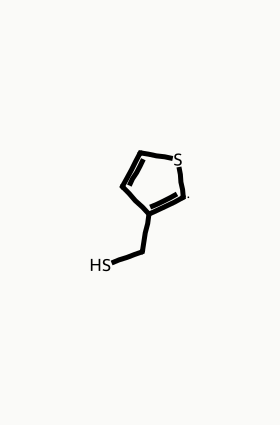 SCc1[c]scc1